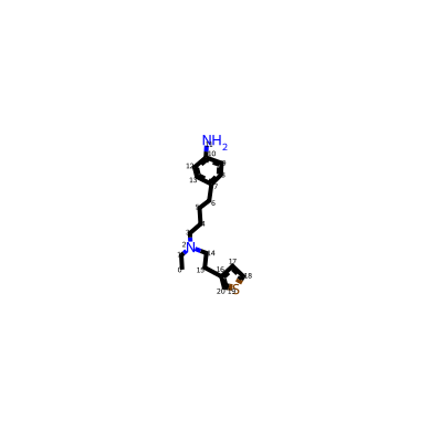 CCN(CCCCc1ccc(N)cc1)CCc1ccsc1